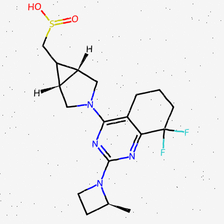 C[C@H]1CCN1c1nc(N2C[C@@H]3C(CS(=O)O)[C@@H]3C2)c2c(n1)C(F)(F)CCC2